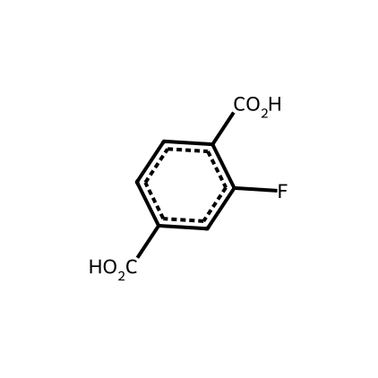 O=C(O)c1ccc(C(=O)O)c(F)c1